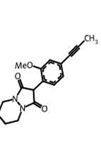 CC#Cc1ccc(C2C(=O)N3CCCCN3C2=O)c(OC)c1